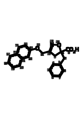 O=C(O)C1(Cc2ccccc2)CC(COc2ccc3ccccc3c2)=NO1